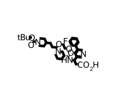 CC(C)(C)OC(=O)N1CCC(CCC(=O)N2CCC[C@@H](C(=O)NC(CC(=O)O)c3cncc(-c4ccccc4OCCF)c3)C2)CC1